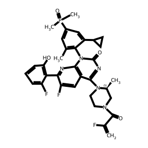 C=C(F)C(=O)N1CCN(c2nc(=O)n(-c3c(C)cc(P(C)(C)=O)cc3C3CC3)c3nc(-c4c(O)cccc4F)c(F)cc23)[C@@H](C)C1